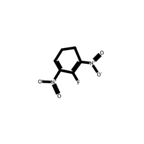 O=[N+]([O-])C1=CC[CH]C([N+](=O)[O-])=C1F